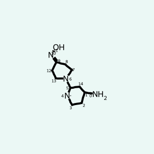 NC1CC[N]C(N2CCC(=NO)CC2)C1